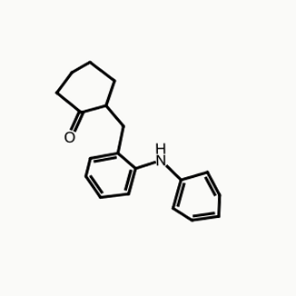 O=C1CCCCC1Cc1ccccc1Nc1ccccc1